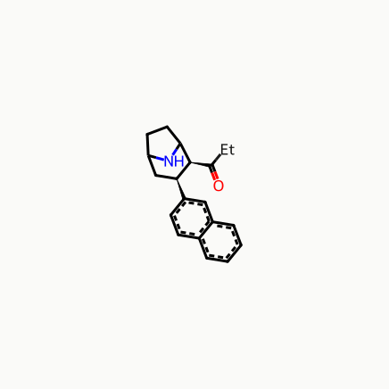 CCC(=O)[C@@H]1C2CCC(C[C@@H]1c1ccc3ccccc3c1)N2